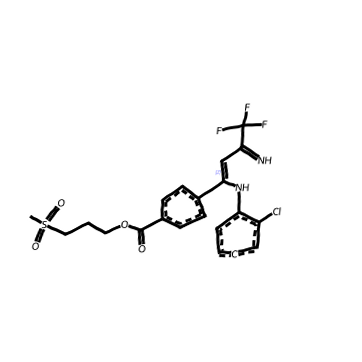 CS(=O)(=O)CCCOC(=O)c1ccc(/C(=C/C(=N)C(F)(F)F)Nc2ccccc2Cl)cc1